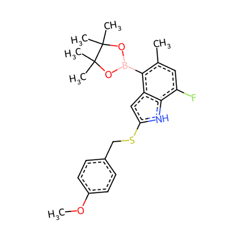 COc1ccc(CSc2cc3c(B4OC(C)(C)C(C)(C)O4)c(C)cc(F)c3[nH]2)cc1